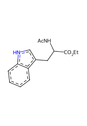 CCOC(=O)C(Cc1c[nH]c2ccccc12)NC(C)=O